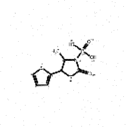 CC1C(c2cccs2)SC(=O)N1P(=O)(O)S